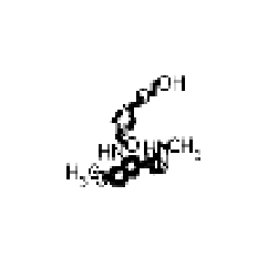 CNc1nccc(-c2cc(NC(=O)CN3CCN(CCOCCO)CC3)c3cc(OC)ccc3c2)n1